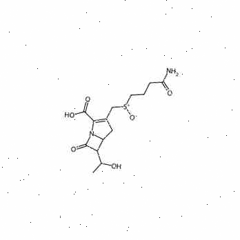 CC(O)C1C(=O)N2C(C(=O)O)=C(C[S+]([O-])CCCC(N)=O)CC12